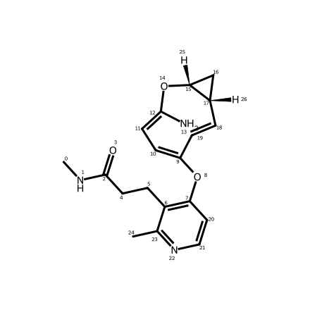 CNC(=O)CCc1c(OC2=C/C=C(\N)O[C@@H]3C[C@@H]3\C=C\2)ccnc1C